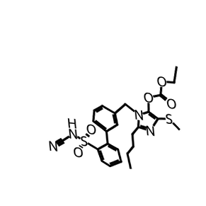 CCCCc1nc(SC)c(OC(=O)OCC)n1Cc1cccc(-c2ccccc2S(=O)(=O)NC#N)c1